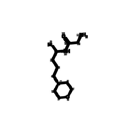 CCC(CCCN1CCOCC1)NC(=O)CN